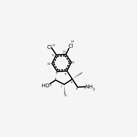 C[C@H](CO)[C@](C)(CN)c1ccc(Cl)c(Cl)c1